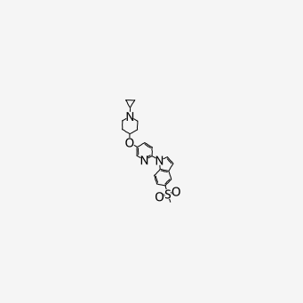 CS(=O)(=O)c1ccc2c(ccn2-c2ccc(OC3CCN(C4CC4)CC3)cn2)c1